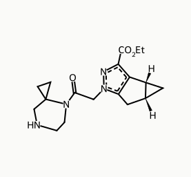 CCOC(=O)c1nn(CC(=O)N2CCNCC23CC3)c2c1[C@@H]1C[C@@H]1C2